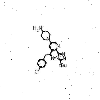 CC(C)(C)c1nnc2c3ncc(N4CCC(N)CC4)cc3c(Cc3ccc(Cl)cc3)nn12